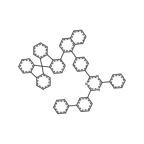 c1ccc(-c2cccc(-c3nc(-c4ccccc4)nc(-c4ccc(-c5c(-c6cccc7c6-c6ccccc6C76c7ccccc7-c7ccccc76)ccc6ccccc56)cc4)n3)c2)cc1